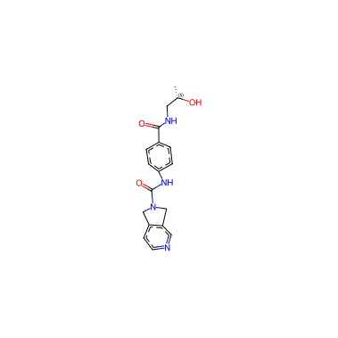 C[C@H](O)CNC(=O)c1ccc(NC(=O)N2Cc3ccncc3C2)cc1